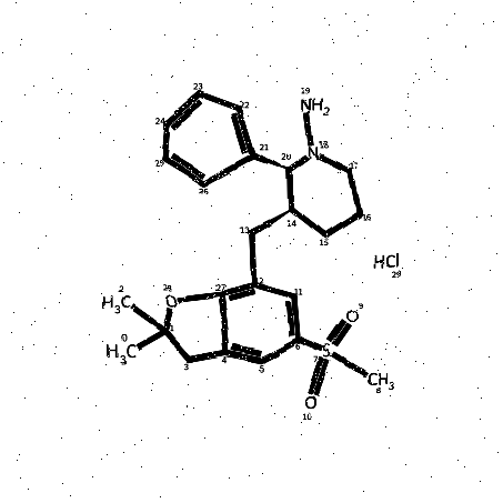 CC1(C)Cc2cc(S(C)(=O)=O)cc(C[C@@H]3CCCN(N)[C@@H]3c3ccccc3)c2O1.Cl